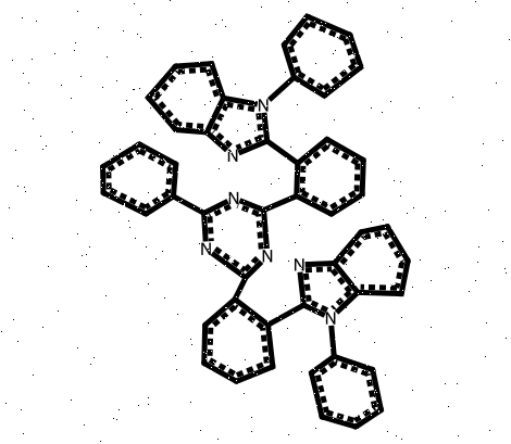 c1ccc(-c2nc(-c3ccccc3-c3nc4ccccc4n3-c3ccccc3)nc(-c3ccccc3-c3nc4ccccc4n3-c3ccccc3)n2)cc1